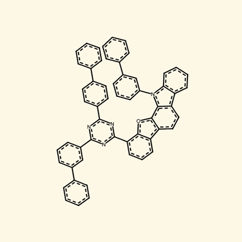 c1ccc(-c2ccc(-c3nc(-c4cccc(-c5ccccc5)c4)nc(-c4cccc5c4oc4c5ccc5c6ccccc6n(-c6cccc(-c7ccccc7)c6)c54)n3)cc2)cc1